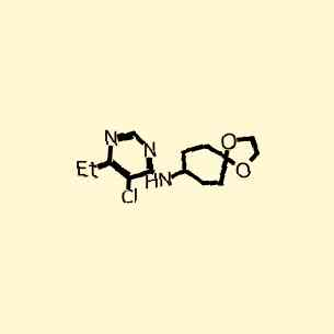 CCc1ncnc(NC2CCC3(CC2)OCCO3)c1Cl